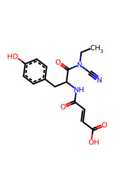 CCN(C#N)C(=O)C(Cc1ccc(O)cc1)NC(=O)/C=C/C(=O)O